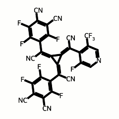 N#CC(=C1C(=C(\C#N)c2c(F)cncc2C(F)(F)F)/C1=C(\C#N)c1c(F)c(F)c(C#N)c(C#N)c1F)c1c(F)c(F)c(C#N)c(C#N)c1F